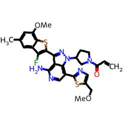 C=CC(=O)N1CCC(n2nc(-c3sc4c(OC)cc(C)cc4c3F)c3c(N)ncc(-c4ncc(COC)s4)c32)C1